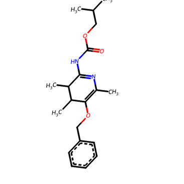 CC1=C(OCc2ccccc2)C(C)C(C)C(NC(=O)OCC(C)C)=N1